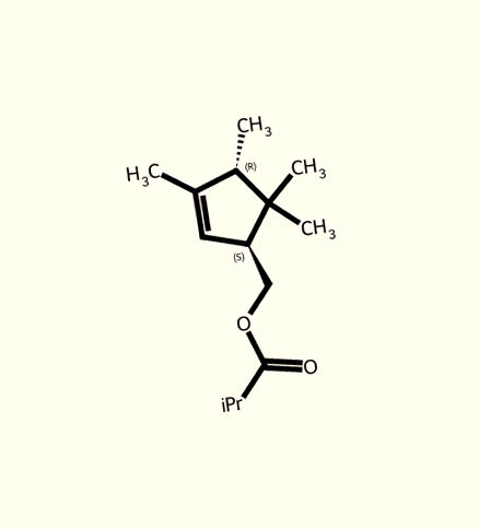 CC1=C[C@H](COC(=O)C(C)C)C(C)(C)[C@H]1C